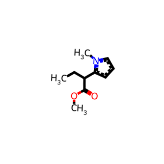 CCC(C(=O)OC)c1cccn1C